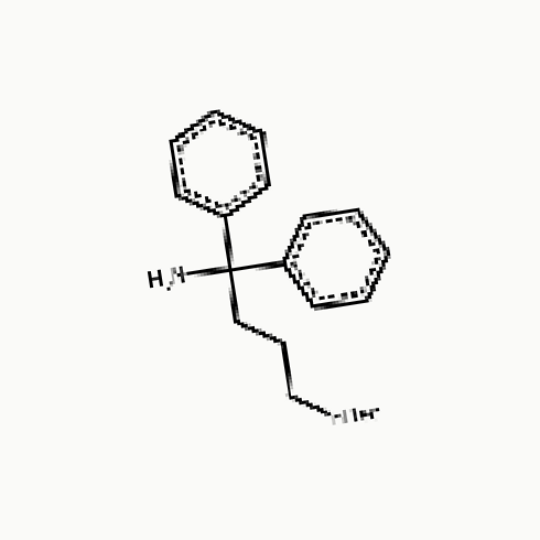 CCCCCCCCCCCCCC(N)(c1ccccc1)c1ccccc1